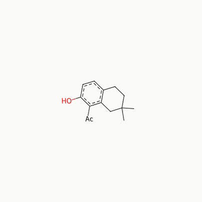 CC(=O)c1c(O)ccc2c1CC(C)(C)CC2